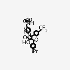 CC(C)c1ccc(C(=O)C2=C(O)C(=O)N(c3ccc(CNS(C)(=O)=O)nn3)C2c2ccc(CC(F)(F)F)cc2)cc1